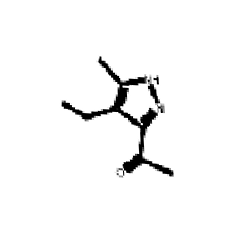 CCc1c(C(C)=O)n[nH]c1C